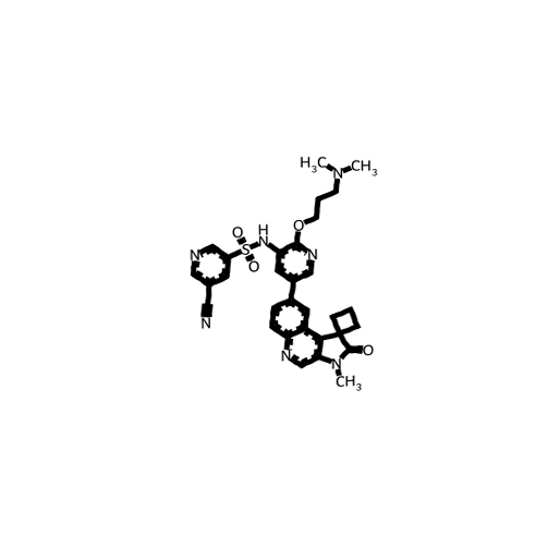 CN(C)CCCOc1ncc(-c2ccc3ncc4c(c3c2)C2(CCC2)C(=O)N4C)cc1NS(=O)(=O)c1cncc(C#N)c1